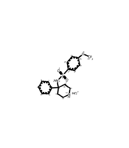 Cl.O=S(=O)(NC1(c2ccccc2)CCNCC1)c1ccc(OC(F)(F)F)cc1